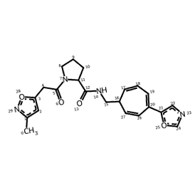 Cc1cc(CC(=O)N2CCCC2C(=O)NCC2C=CC=C(c3cnco3)C=C2)on1